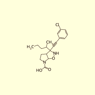 CCCC(C)C1(C#Cc2cccc(Cl)c2)NOC2C1CCN2C(=O)O